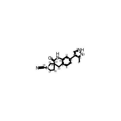 Cc1n[nH]cc1-c1ccc2c(c1)NC(=O)C1(CCN(C#N)C1)C2